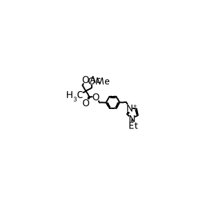 CCn1cc[n+](Cc2ccc(COC(=O)C(C)(COC)COC(C)=O)cc2)c1